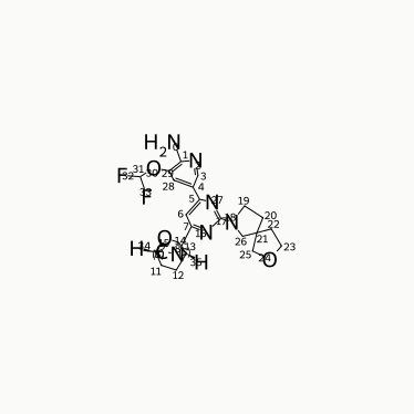 Nc1ncc(-c2cc(N3C[C@@H]4CC[C@H]3CO4)nc(N3CCC4(CCOC4)C3)n2)cc1OC(F)F